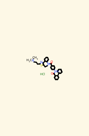 CN(C)CCCc1nc2c(s1)CCN(C(=O)c1ccc(NC(=O)c3ccccc3-c3ccccc3)cc1)c1ccccc1-2.Cl